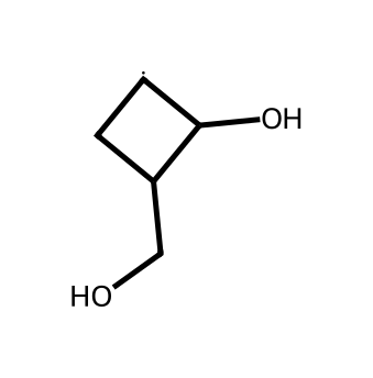 OCC1C[CH]C1O